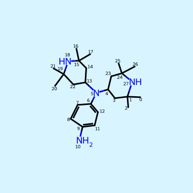 CC1(C)CC(N(c2ccc(N)cc2)C2CC(C)(C)NC(C)(C)C2)CC(C)(C)N1